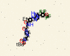 CCc1cc(Nc2nccn3c(-c4ccc(OC(F)F)c(F)c4F)cnc23)ccc1C(=O)NCCC(=O)N1CCN(CC2CN(C(=O)OC(C)(C)C)C2)CC1